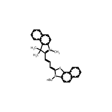 CCCCN1/C(=C/C=C/C2=[N+](C)c3ccc4ccccc4c3C2(C)C)Sc2c1ccc1ccccc21